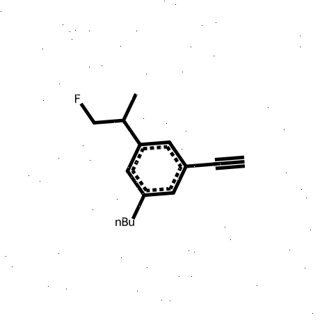 C#Cc1cc(CCCC)cc([C](C)CF)c1